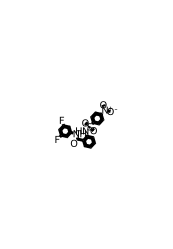 O=C(Nc1cc(F)cc(F)c1)c1ccccc1NS(=O)(=O)c1ccc([N+](=O)[O-])cc1